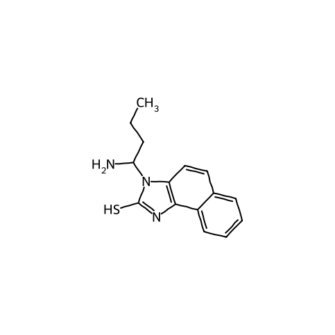 CCCC(N)n1c(S)nc2c3ccccc3ccc21